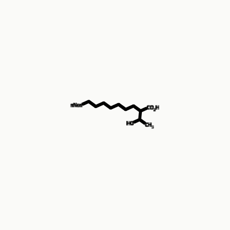 CCCCCCCCCCCCCCCCC(C(=O)O)C(C)O